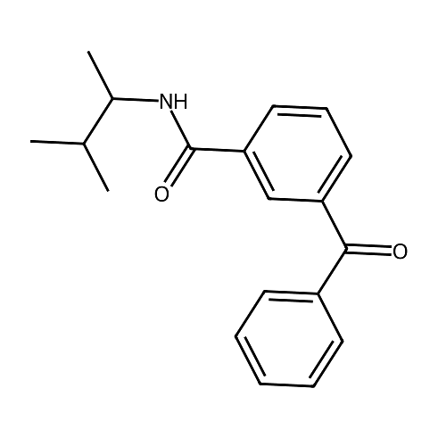 CC(C)C(C)NC(=O)c1cccc(C(=O)c2ccccc2)c1